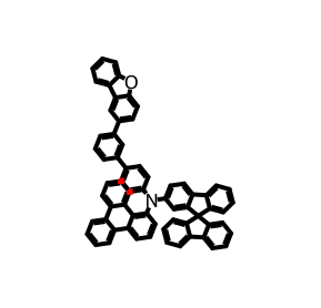 c1cc(-c2ccc(N(c3ccc4c(c3)C3(c5ccccc5-c5ccccc53)c3ccccc3-4)c3cccc4c5ccccc5c5ccccc5c34)cc2)cc(-c2ccc3oc4ccccc4c3c2)c1